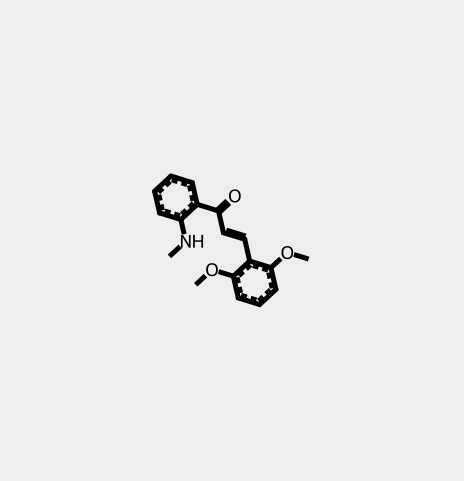 CNc1ccccc1C(=O)C=Cc1c(OC)cccc1OC